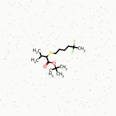 CC(C)C(SCCCCC(C)(F)F)C(=O)OC(C)(C)C